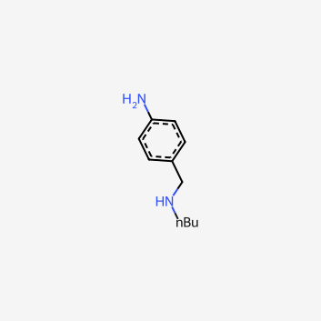 CCCCNCc1ccc(N)cc1